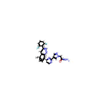 CC1(C)[C@H]2CC[C@@]1(c1ccnc(-c3cnn(CC(N)=O)c3)n1)c1nnc(-c3c(F)cccc3F)cc12